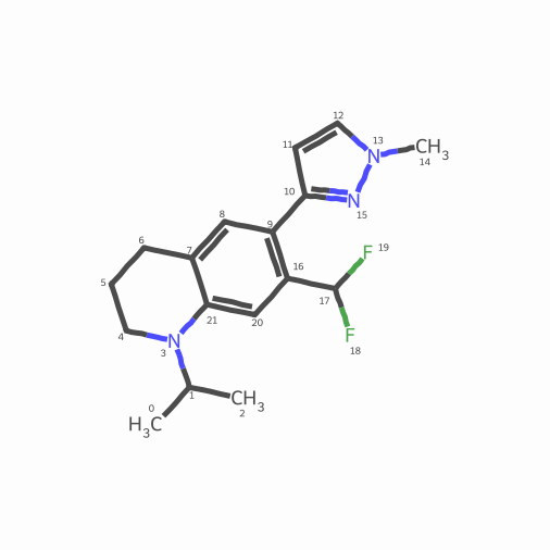 CC(C)N1CCCc2cc(-c3ccn(C)n3)c(C(F)F)cc21